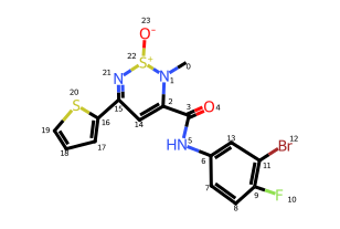 CN1C(C(=O)Nc2ccc(F)c(Br)c2)=CC(c2cccs2)=N[S+]1[O-]